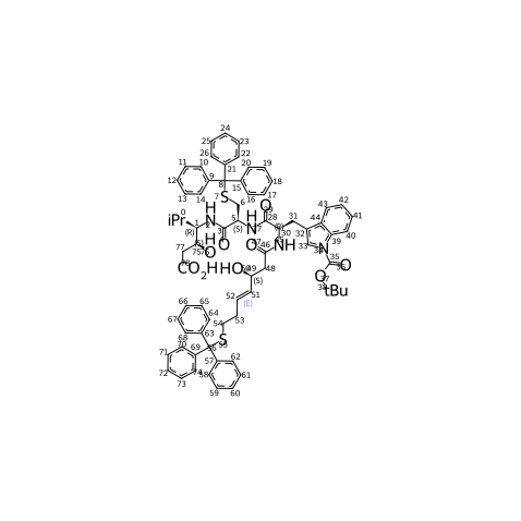 CC(C)[C@@H](NC(=O)[C@@H](CSC(c1ccccc1)(c1ccccc1)c1ccccc1)NC(=O)[C@@H](Cc1cn(C(=O)OC(C)(C)C)c2ccccc12)NC(=O)C[C@H](O)/C=C/CCSC(c1ccccc1)(c1ccccc1)c1ccccc1)[C@@H](O)CC(=O)O